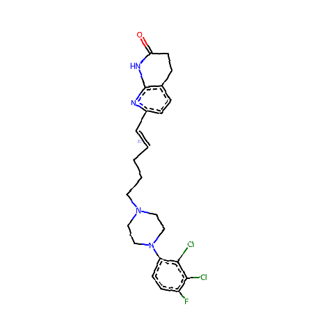 O=C1CCc2ccc(/C=C/CCCN3CCN(c4ccc(F)c(Cl)c4Cl)CC3)nc2N1